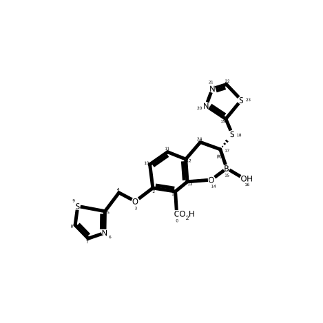 O=C(O)c1c(OCc2nccs2)ccc2c1OB(O)[C@@H](Sc1nncs1)C2